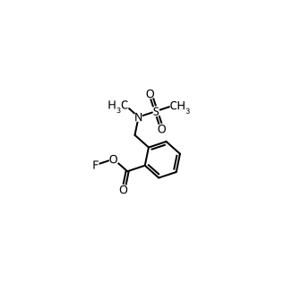 CN(Cc1ccccc1C(=O)OF)S(C)(=O)=O